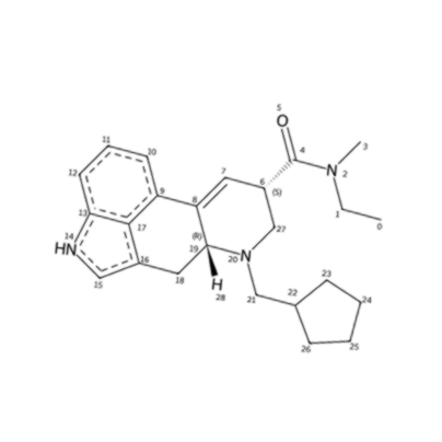 CCN(C)C(=O)[C@H]1C=C2c3cccc4[nH]cc(c34)C[C@H]2N(CC2CCCC2)C1